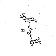 COc1ccc(C[C@@H]2c3cc(OC)c(OC)cc3CC[N+]2(C)CCCOC(=O)/C=C/C(=O)OCCC[N+]2(Cc3ccc(OC)c(OC)c3)CCOCC2)cc1.[Cl-].[Cl-]